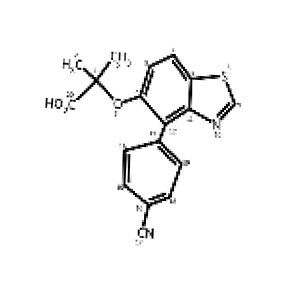 CC(C)(Oc1ccc2scnc2c1-c1ccc(C#N)cc1)C(=O)O